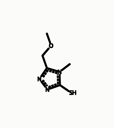 COCc1nnc(S)n1C